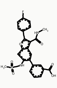 CNC(=O)c1c(-c2ccc(F)cc2)oc2cc(NS(C)(=O)=O)c(-c3cccc(C(=O)O)c3)cc12